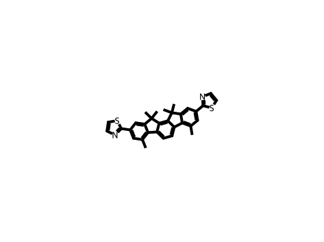 Cc1cc(-c2nccs2)cc2c1-c1ccc3c(c1C2(C)C)C(C)(C)c1cc(-c2nccs2)cc(C)c1-3